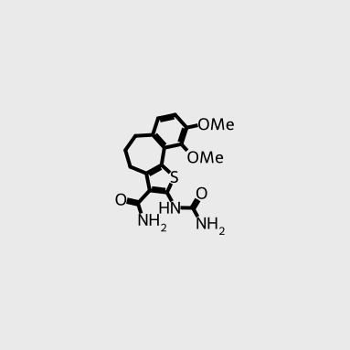 COc1ccc2c(c1OC)-c1sc(NC(N)=O)c(C(N)=O)c1CCC2